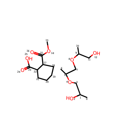 CC(O)COC(C)COC(C)CO.COC(=O)C1CCCCC1C(=O)O